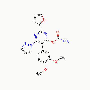 COc1ccc(-c2c(OC(N)=O)nc(-c3ccco3)nc2-n2cccn2)cc1OC